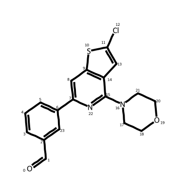 O=Cc1cccc(-c2cc3sc(Cl)cc3c(N3CCOCC3)n2)c1